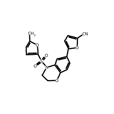 Cc1ccc(S(=O)(=O)N2CCOc3ccc(-c4ccc(C#N)o4)cc32)o1